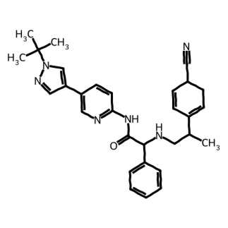 CC(CNC(C(=O)Nc1ccc(-c2cnn(C(C)(C)C)c2)cn1)c1ccccc1)C1=CCC(C#N)C=C1